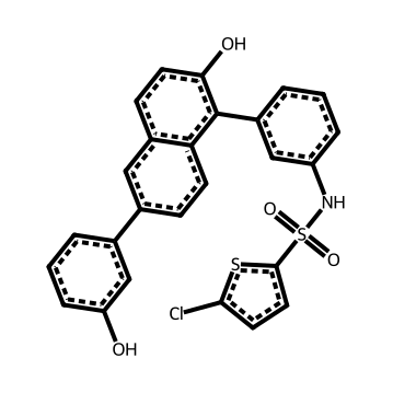 O=S(=O)(Nc1cccc(-c2c(O)ccc3cc(-c4cccc(O)c4)ccc23)c1)c1ccc(Cl)s1